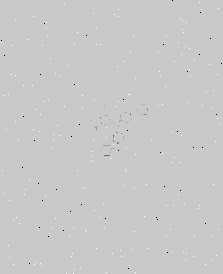 CC1CC=CC2=C1c1ccc(N(c3ccc4c(c3)C3(CC5CCC3C5)c3ccccc3-4)c3ccc4oc5c(C6CCCCC6)cccc5c4c3)cc1C2(C)C